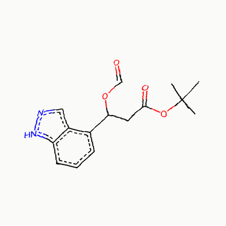 CC(C)(C)OC(=O)CC(OC=O)c1cccc2[nH]ncc12